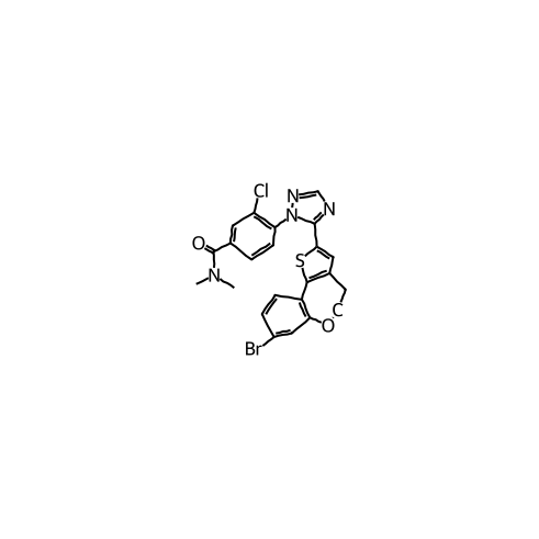 CN(C)C(=O)c1ccc(-n2ncnc2-c2cc3c(s2)-c2ccc(Br)cc2OCC3)c(Cl)c1